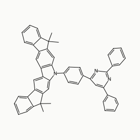 CC1(C)c2ccccc2-c2cc3c4cc5c(cc4n(-c4ccc(-c6cc(-c7ccccc7)nc(-c7ccccc7)n6)cc4)c3cc21)C(C)(C)c1ccccc1-5